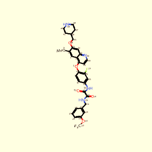 COc1cc2c(Oc3ccc(NC(=O)C(=O)NCc4cccc(OC(F)(F)F)c4)cc3F)ccnc2cc1OCC1CCNCC1